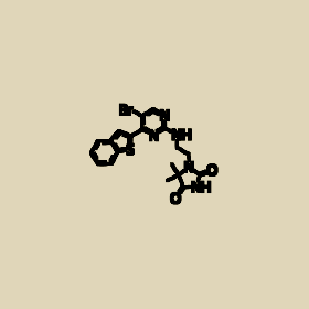 CC1(C)C(=O)NC(=O)N1CCNc1ncc(Br)c(-c2cc3ccccc3s2)n1